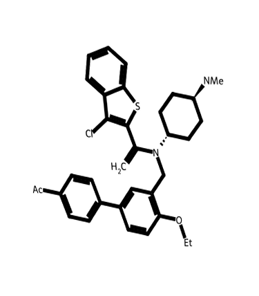 C=C(c1sc2ccccc2c1Cl)N(Cc1cc(-c2ccc(C(C)=O)cc2)ccc1OCC)[C@H]1CC[C@H](NC)CC1